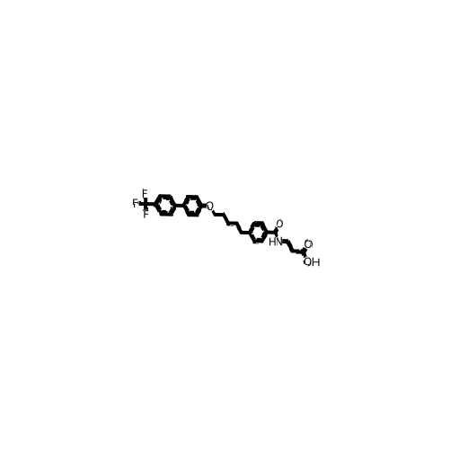 O=C(O)CCNC(=O)c1ccc(CCCCCOc2ccc(-c3ccc(C(F)(F)F)cc3)cc2)cc1